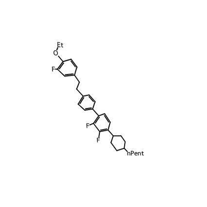 CCCCCC1CCC(c2ccc(-c3ccc(CCc4ccc(OCC)c(F)c4)cc3)c(F)c2F)CC1